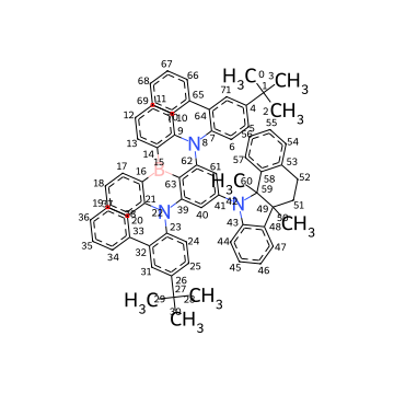 CC(C)(C)c1ccc(N2c3ccccc3B3c4ccccc4N(c4ccc(C(C)(C)C)cc4-c4ccccc4)c4cc(N5c6ccccc6C6(C)CCc7ccccc7C56C)cc2c43)c(-c2ccccc2)c1